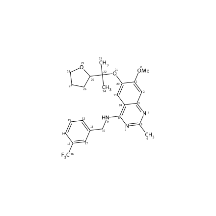 COc1cc2nc(C)nc(NCc3cccc(C(F)(F)F)c3)c2cc1OC(C)(C)C1CCCO1